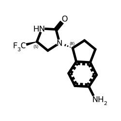 Nc1ccc2c(c1)CC[C@H]2N1C[C@@H](C(F)(F)F)NC1=O